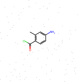 Cc1cc(N)ccc1C(=O)Cl